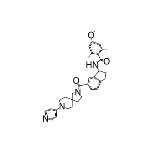 COc1cc(C)c(C(=O)NC2CCc3ccc(C(=O)N4CCC5(CCN(c6ccncc6)CC5)C4)cc32)c(C)c1